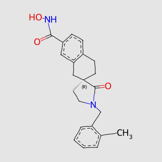 Cc1ccccc1CN1CC[C@]2(CCc3ccc(C(=O)NO)cc3C2)C1=O